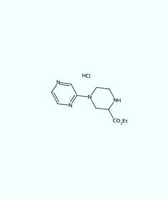 CCOC(=O)C1CN(c2cnccn2)CCN1.Cl